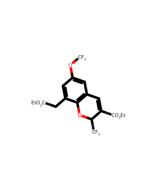 CCOC(=O)Cc1cc(OC(F)(F)F)cc2c1OC(C(F)(F)F)C(C(=O)OCC)=C2